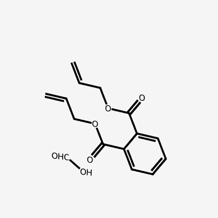 C=CCOC(=O)c1ccccc1C(=O)OCC=C.O=CO